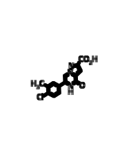 Cc1cc(-c2cn3nc(C(=O)O)cc3c(=O)[nH]2)ccc1Cl